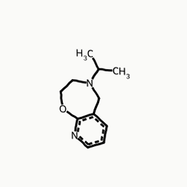 CC(C)N1CCOc2ncccc2C1